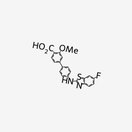 COc1cc(-c2ccc(Nc3nc4ccc(F)cc4s3)cc2)ccc1C(=O)O